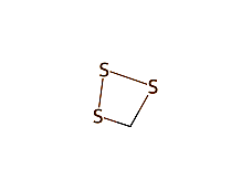 C1SSS1